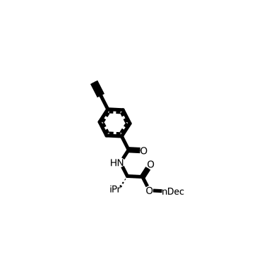 C#Cc1ccc(C(=O)N[C@H](C(=O)OCCCCCCCCCC)C(C)C)cc1